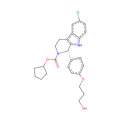 O=C(OC1CCCC1)N1CCc2c([nH]c3ccc(Cl)cc23)[C@@H]1c1ccc(OCCCO)cc1